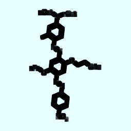 CCCCCCCCN(CCCCCCCC)c1ccc(/N=N/c2cc(OCCC)c(/N=N/c3ccc([N+](=O)[O-])cc3)cc2OCCOC(C)=O)c(C)c1